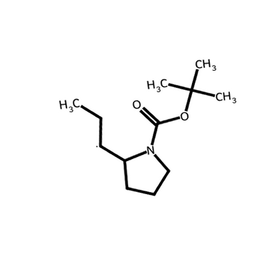 CC[CH]C1CCCN1C(=O)OC(C)(C)C